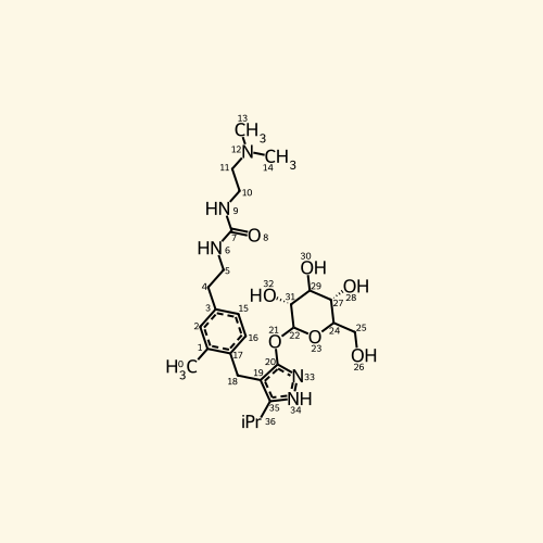 Cc1cc(CCNC(=O)NCCN(C)C)ccc1Cc1c(OC2OC(CO)[C@@H](O)C(O)[C@H]2O)n[nH]c1C(C)C